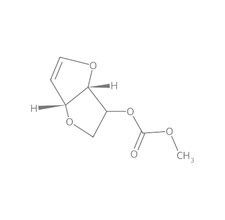 COC(=O)OC1CO[C@@H]2C=CO[C@H]12